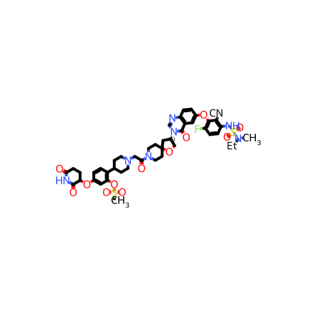 CCN(C)S(=O)(=O)Nc1ccc(F)c(Oc2ccc3ncn([C@@H]4COC5(CCN(C(=O)CN6CCC(c7ccc(OC8CCC(=O)NC8=O)cc7OS(C)(=O)=O)CC6)CC5)C4)c(=O)c3c2)c1C#N